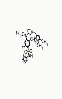 Cc1cc(S(=O)(=O)Nc2cscn2)c(F)cc1N(C)C1CCN(Cc2cc(C)n(C)n2)C1